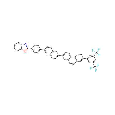 FC(F)(F)c1cc(-c2ccc3c(ccc4cc(-c5ccc6cc(-c7ccc(-c8nc9ccccc9o8)cc7)ccc6c5)ccc43)c2)cc(C(F)(F)F)c1